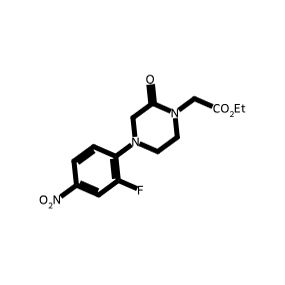 CCOC(=O)CN1CCN(c2ccc([N+](=O)[O-])cc2F)CC1=O